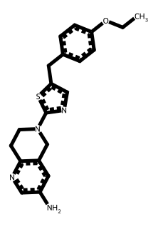 CCOc1ccc(Cc2cnc(N3CCc4ncc(N)cc4C3)s2)cc1